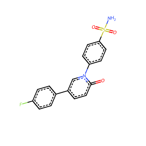 NS(=O)(=O)c1ccc(-n2cc(-c3ccc(F)cc3)ccc2=O)cc1